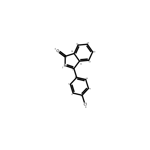 O=C1N=C(c2ccc(Cl)cc2)c2ccccc21